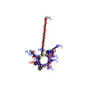 COCCOCCOCCOCCOCCOCCOCCOCCNC(=O)CCCC1CSC[C@@H](C(=O)N2CCC[C@H]2C(=O)N[C@@H](CCCCN)C(=O)NCC(N)=O)NC(=O)[C@H](CC(N)=O)NC(=O)[C@H](CCC(N)=O)NC(=O)[C@H](Cc2ccccc2)NC(=O)[C@H](Cc2ccc(O)cc2)NC(=O)[C@@H](NC(=O)CNC(=O)CNC(=O)CN)CS1